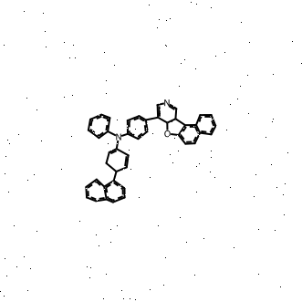 C1=CC(c2cccc3ccccc23)CC=C1N(c1ccccc1)c1ccc(C2=CN=CC3c4c(ccc5ccccc45)OC23)cc1